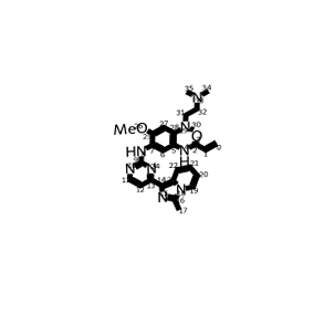 C=CC(=O)Nc1cc(Nc2nccc(-c3nc(C)n4ccccc34)n2)c(OC)cc1N(C)CCN(C)C